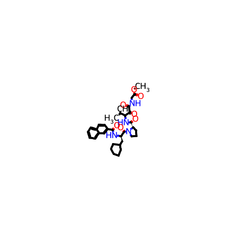 COC(=O)CNC(=O)C(=O)C(NC(=O)[C@@H]1CCCN1C(=O)[C@@H](CC1CCCCC1)NC(=O)c1ccc2ccccc2c1)C(C)C